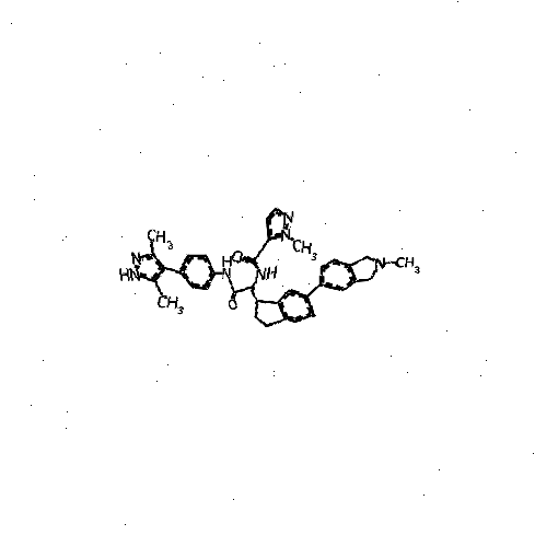 Cc1n[nH]c(C)c1-c1ccc(NC(=O)C(NC(=O)c2ccnn2C)[C@@H]2CCc3ccc(-c4ccc5c(c4)CN(C)C5)cc32)cc1